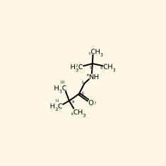 CC(C)(C)NCC(=O)C(C)(C)C